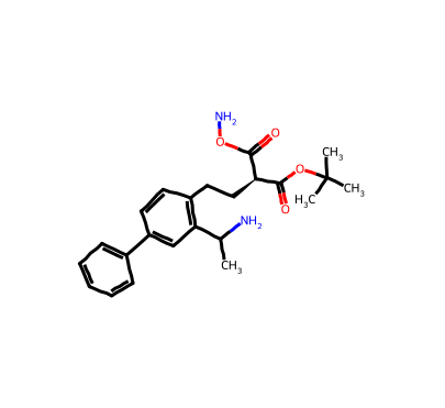 CC(N)c1cc(-c2ccccc2)ccc1CC[C@@H](C(=O)ON)C(=O)OC(C)(C)C